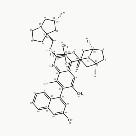 Cc1cc2c(N3C[C@H]4CC[C@@H](C3)N4C(=O)OC(C)(C)C)nc(OC[C@@]34CCCN3C[C@H](F)C4)nc2c(F)c1-c1cc(O)cc2ccccc12